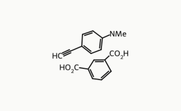 C#Cc1ccc(NC)cc1.O=C(O)c1cccc(C(=O)O)c1